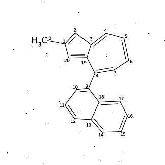 Cc1[c]c2ccccc(-c3cccc4ccccc34)c-2c1